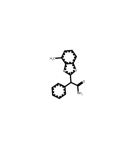 Cc1cccc2sc(C(C(N)=O)c3ccccc3)nc12